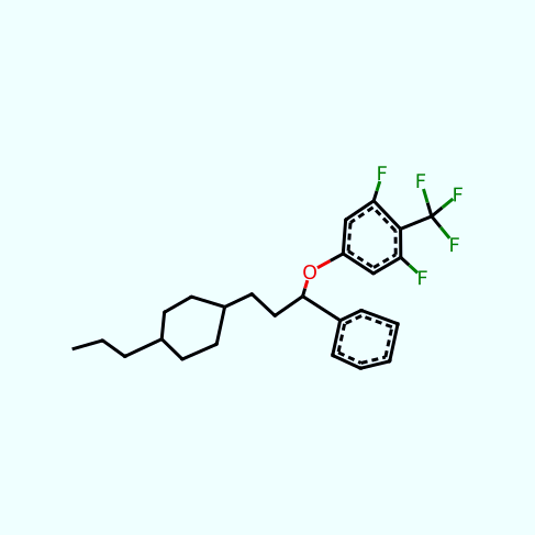 CCCC1CCC(CCC(Oc2cc(F)c(C(F)(F)F)c(F)c2)c2ccccc2)CC1